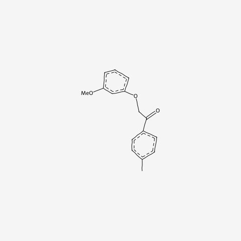 COc1cccc(OCC(=O)c2ccc(C)cc2)c1